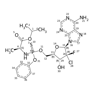 CC(C)OC(=O)[C@H](C)NP(=S)(OC[C@H]1O[C@@H](n2cnc3c(N)ncnc32)[C@](F)(Cl)[C@@H]1O)Oc1ccccc1